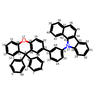 c1ccc(C2(c3ccccc3)c3ccccc3Oc3ccc(-c4cccc(-n5c6ccccc6c6ccc7ccccc7c65)c4)cc32)cc1